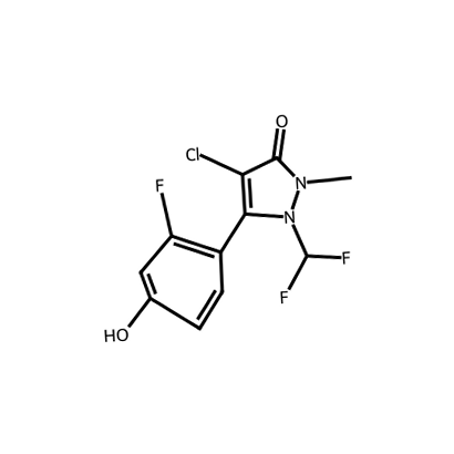 Cn1c(=O)c(Cl)c(-c2ccc(O)cc2F)n1C(F)F